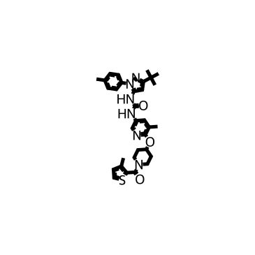 Cc1ccc(-n2nc(C(C)(C)C)cc2NC(=O)Nc2cnc(OC3CCN(C(=O)c4sccc4C)CC3)c(C)c2)cc1